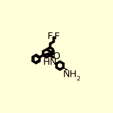 NC[C@H]1CC[C@H](NC(=O)C23CC4CC(c5ccccc5)(CC(C2)C4CCC(F)F)C3)CC1